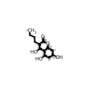 CCCCc1c(O)c2c(O)cc(O)cc2oc1=O